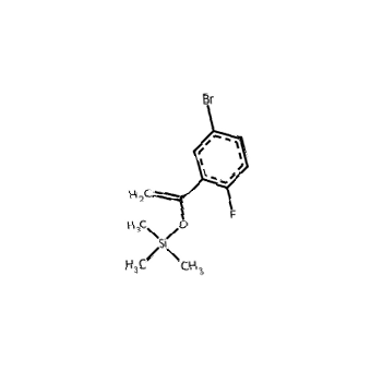 C=C(O[Si](C)(C)C)c1cc(Br)ccc1F